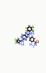 NC(=O)[C@H]1CC[C@H](n2c(Nc3c(F)ccc(F)c3F)nc3cnc(NC4CC(F)(F)C4)nc32)CC1